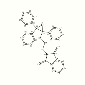 O=C1c2ccccc2C(=O)N1CCCC1(c2ccccc2)OC1(c1ccccc1)c1ccccc1